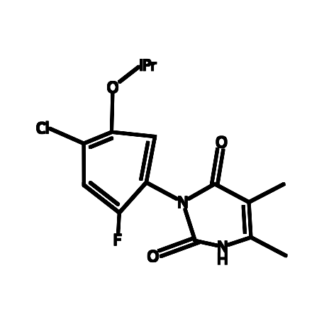 Cc1[nH]c(=O)n(-c2cc(OC(C)C)c(Cl)cc2F)c(=O)c1C